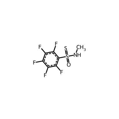 CNS(=O)(=S)c1c(F)c(F)c(F)c(F)c1F